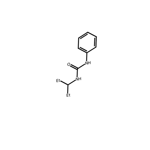 CCC(CC)NC(=O)Nc1ccccc1